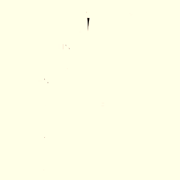 C[C@H](NC(=O)NC1CC2(CCC2)C1)c1cc(C(F)(F)F)ccc1Br